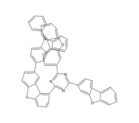 c1ccc(-n2c3ccccc3c3cc(-c4ccc5sc6cccc(-c7nc(-c8ccc9c(c8)oc8ccccc89)nc(-c8ccc9c(c8)oc8ccccc89)n7)c6c5c4)ccc32)cc1